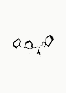 NC(=O)N(c1cccc(Oc2ccccc2)c1)C1CC2(CCCC2)C1